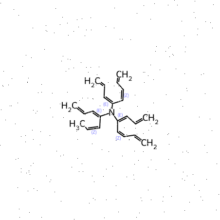 C=C/C=C\C(=C/C=C)N(C(/C=C\C)=C/C=C)C(/C=C\C=C)=C/C=C